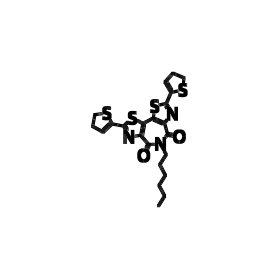 CCCCCCn1c(=O)c2nc(C3=CCCS3)sc2c2sc(C3=CCCS3)nc2c1=O